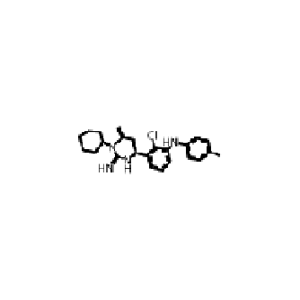 C=C1CC(c2cccc(Nc3ccc(C)cc3)c2Cl)NC(=N)N1C1CCCCC1